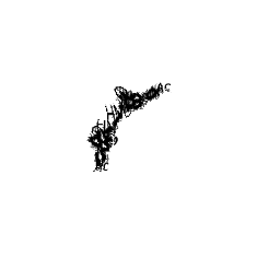 CC(=O)N1CCN(c2ccc3c4c(cccc24)C(=O)N(CCNCCCNCCN2C(=O)c4cccc5c(N6CCN(C(C)=O)CC6)ccc(c45)C2=O)C3=O)CC1